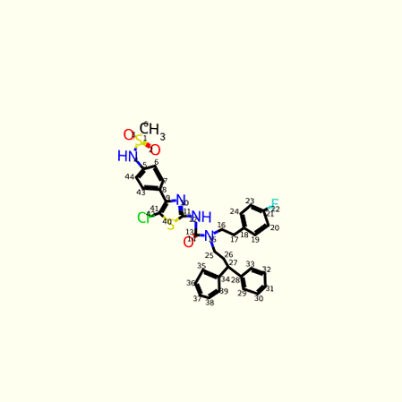 CS(=O)(=O)Nc1ccc(-c2nc(NC(=O)N(CCc3ccc(F)cc3)CCC(c3ccccc3)c3ccccc3)sc2Cl)cc1